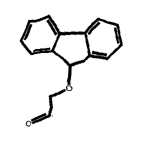 O=[C]COC1c2ccccc2-c2ccccc21